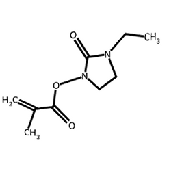 C=C(C)C(=O)ON1CCN(CC)C1=O